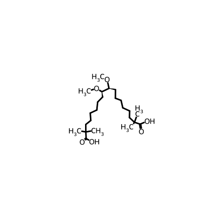 CO[C@@H](CCCCCCC(C)(C)C(=O)O)[C@@H](CCCCCCC(C)(C)C(=O)O)OC